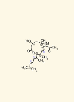 [CH2][C@@H](C)/C=C/C=C(\C)[C@H]1OC(=O)C[C@@H](O)CC[C@](C)(O)[C@@H](OC(C)=O)/C=C/[C@@H]1C